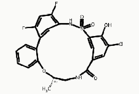 C[C@H]1CNC(=O)c2cc(Cl)c(O)c(c2)S(=O)(=O)Nc2cc(c(F)cc2F)-c2ccccc2O1